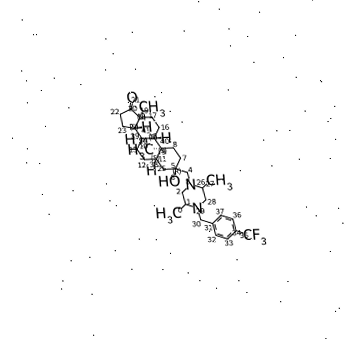 CC1CN(C[C@@]2(O)CC[C@@]3(C)[C@@H](CC[C@@H]4[C@@H]3CC[C@]3(C)C(=O)CC[C@@H]43)C2)C(C)CN1Cc1ccc(C(F)(F)F)cc1